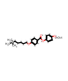 CCCCCCCCOc1ccc(OC(=O)c2ccc(OCCCCC[Si](C)(C)C)cc2)cc1